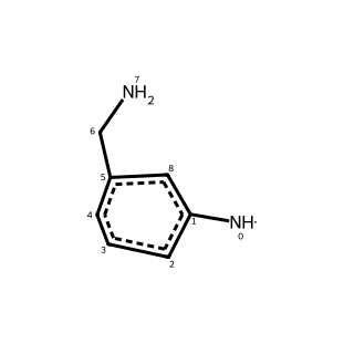 [NH]c1cccc(CN)c1